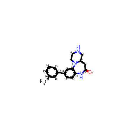 O=C1CC2CNCCN2c2cc(-c3cccc(C(F)(F)F)c3)ccc2N1